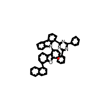 c1ccc(-c2nc(-c3ccccc3)nc(-c3cccc4c5ccccc5n(-c5cccc6oc7c(-c8cccc9ccccc89)cccc7c56)c34)n2)cc1